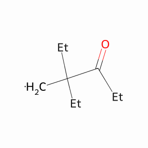 [CH2]C(CC)(CC)C(=O)CC